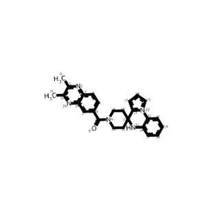 Cc1nc2ccc(C(=O)N3CCC4(CC3)Nc3ccccc3-n3cccc34)cc2nc1C